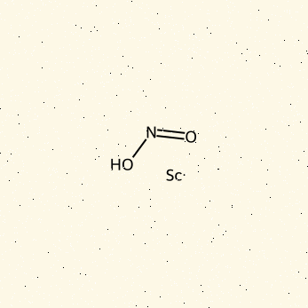 O=NO.[Sc]